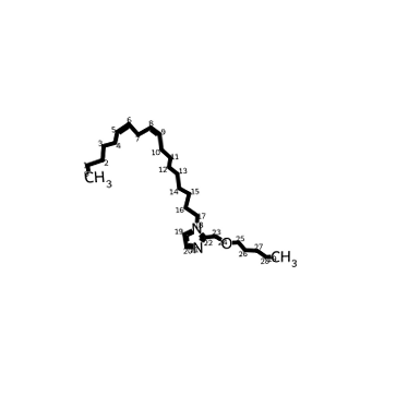 CCCCC/C=C\C/C=C\CCCCCCCCn1ccnc1COCCCCC